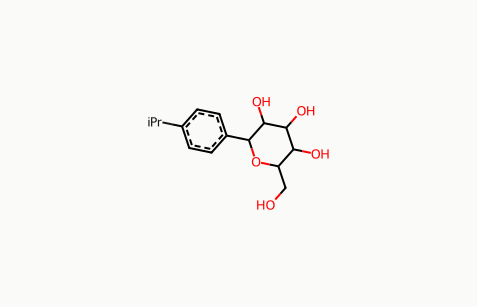 CC(C)c1ccc(C2OC(CO)C(O)C(O)C2O)cc1